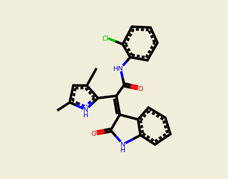 Cc1cc(C)c(/C(C(=O)Nc2ccccc2Cl)=C2\C(=O)Nc3ccccc32)[nH]1